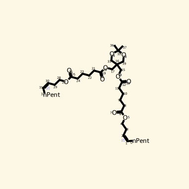 CCCCC/C=C\CCOC(=O)CCCCC(=O)OCC1(COC(=O)CCCCC(=O)OCC/C=C\CCCCC)COC(C)(C)OC1